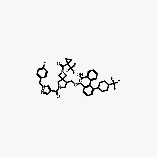 O=C(O)c1ccccc1-c1c(COCC2CN(C(=O)c3cnn(Cc4ccc(F)cc4)c3)CC23CN(C(=O)C2(C(F)(F)F)CC2)C3)cccc1C1CCC(C(F)(F)F)CC1